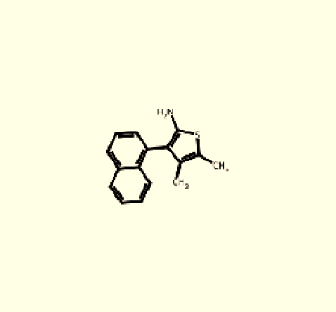 Cc1sc(N)c(-c2[c]ccc3ccccc23)c1C